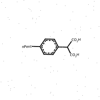 CCCCCc1ccc(C(C(=O)O)C(=O)O)cc1